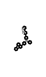 c1ccc(N(c2ccc(-c3ccc(-c4ccccn4)nc3)cc2)c2ccc(-c3ccc4c5c(cccc35)-c3ccccc3-4)cc2)cc1